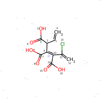 C=CC(C(=O)O)/C(C(=O)O)=C(\C(=C)Cl)C(=O)O